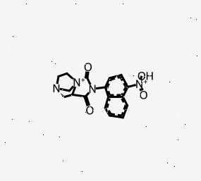 O=C1C2C[N@]3CC[N+]2(C3)C(=O)N1c1ccc([N+](=O)O)c2ccccc12